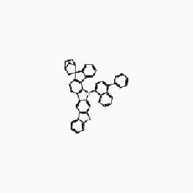 c1ccc(-c2ccc(-n3c4cc5sc6ccccc6c5cc4c4ccc5c(c43)-c3ccccc3C53CC4CCC3C4)c3ccccc23)cc1